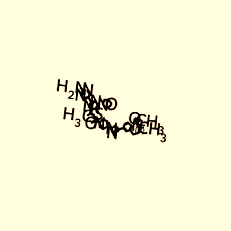 CC(=O)N1c2ccc(-c3cnn(C4CCN(C(=O)c5sc6c(N7CCOCC7)nc(-c7cnc(N)nc7)nc6c5C)CC4)c3)cc2CC[C@@H]1C